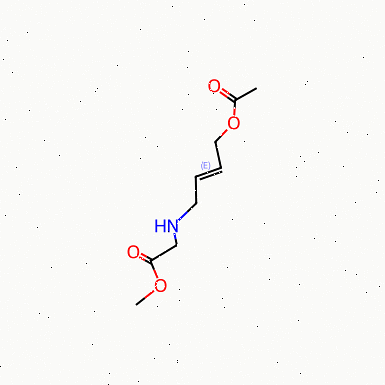 COC(=O)CNC/C=C/COC(C)=O